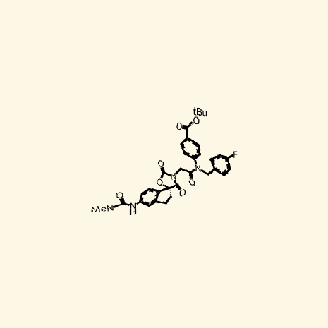 CNC(=O)Nc1ccc2c(c1)CC[C@@]21OC(=O)N(CC(=O)N(Cc2ccc(F)cc2)c2ccc(C(=O)OC(C)(C)C)cc2)C1=O